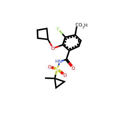 CC1(S(=O)(=O)NC(=O)c2ccc(C(=O)O)c(F)c2OC2CCC2)CC1